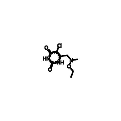 CCON(C)Cc1[nH]c(=O)[nH]c(=O)c1Cl